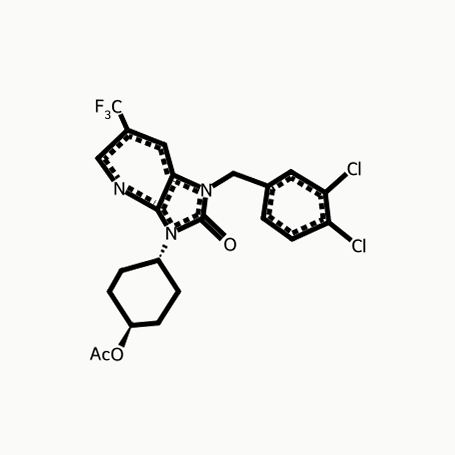 CC(=O)O[C@H]1CC[C@H](n2c(=O)n(Cc3ccc(Cl)c(Cl)c3)c3cc(C(F)(F)F)cnc32)CC1